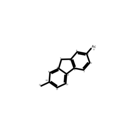 CC(=O)c1ccc2c(c1)Cc1cc(C)ccc1-2